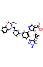 CC[C@@H]1COc2ccccc2CN1Cc1cccc(-c2cccc(-n3ncc(C(=O)O)c3[C@@H]3C[C@H]3c3cn(C)nn3)c2)c1